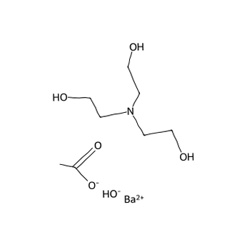 CC(=O)[O-].OCCN(CCO)CCO.[Ba+2].[OH-]